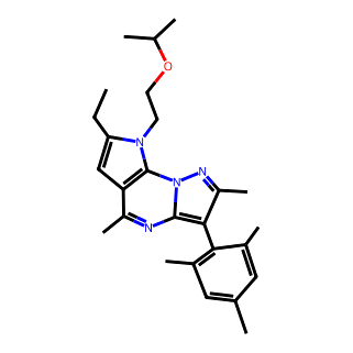 CCc1cc2c(C)nc3c(-c4c(C)cc(C)cc4C)c(C)nn3c2n1CCOC(C)C